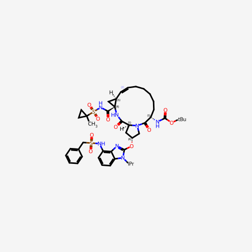 CC(C)n1c(O[C@@H]2C[C@H]3C(=O)N[C@]4(C(=O)NS(=O)(=O)C5(C)CC5)C[C@H]4/C=C\CCCCC[C@H](NC(=O)OC(C)(C)C)C(=O)N3C2)nc2c(NS(=O)(=O)Cc3ccccc3)cccc21